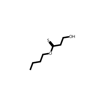 CCCCOC(=S)CCO